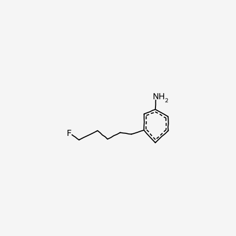 Nc1cccc(CCCCCF)c1